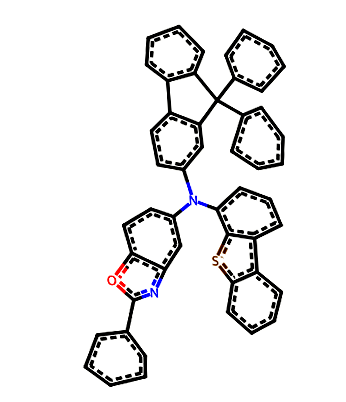 c1ccc(-c2nc3cc(N(c4ccc5c(c4)C(c4ccccc4)(c4ccccc4)c4ccccc4-5)c4cccc5c4sc4ccccc45)ccc3o2)cc1